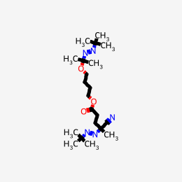 CC(C)(C)/N=N/C(C)(C#N)CCC(=O)OCCCCOC(C)(C)/N=N/C(C)(C)C